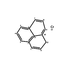 C1=Cc2cccc3cccc(c23)C1.[Cr]